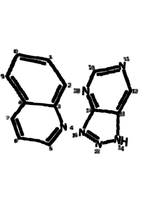 c1ccc2ncccc2c1.c1ncc2[nH]nnc2n1